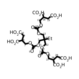 CCC(COC(=O)OCC(CC(=O)O)C(=O)O)(COC(=O)OCC(CC(=O)O)C(=O)O)COC(=O)OCC(CC(=O)O)C(=O)O